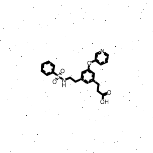 O=C(O)CCc1cc(CCNS(=O)(=O)c2ccccc2)cc(Oc2cccnc2)c1